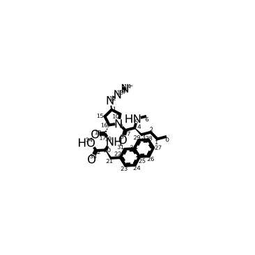 CCCC[C@H](NC)C(=O)N1C[C@@H](N=[N+]=[N-])C[C@H]1C(=O)N[C@@H](Cc1ccc2ccccc2c1)C(=O)O